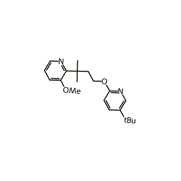 COc1cccnc1C(C)(C)CCOc1ccc(C(C)(C)C)cn1